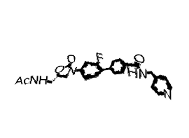 CC(=O)NC[C@H]1CN(c2ccc(-c3ccc(C(=O)NCc4ccncc4)cc3)c(F)c2)C(=O)O1